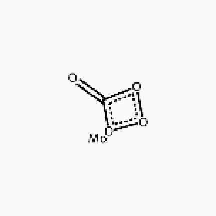 O=c1ooo1.[Mo]